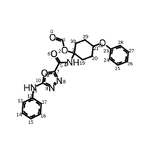 O=COC1(NC(=O)c2nnc(Nc3ccccc3)o2)CCC(Oc2ccccc2)CC1